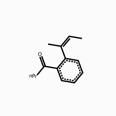 C/C=C(/C)c1ccccc1C(=O)CCC